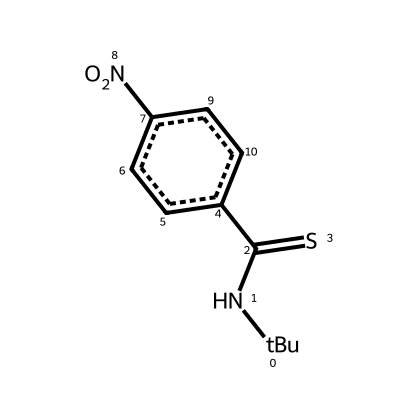 CC(C)(C)NC(=S)c1ccc([N+](=O)[O-])cc1